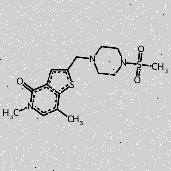 Cc1cn(C)c(=O)c2cc(CN3CCN(S(C)(=O)=O)CC3)sc12